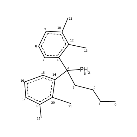 CCCCC(P)(c1cccc(C)c1C)c1cccc(C)c1C